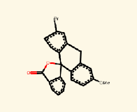 COc1ccc2c(c1)Cc1cc(C(C)C)ccc1C21OC(=O)c2ccccc21